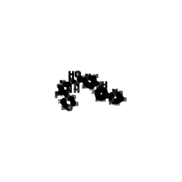 O=C(NNc1ncc(F)c(N2CCOCC2)n1)c1ccc(Nc2cccc(-c3ncccn3)c2)cn1